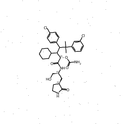 CC(C)(c1cccc(Cl)c1)C(c1ccc(Cl)cc1)C(C1CCCCC1)[C@H](OC(N)=O)C(=O)N[C@H](CO)C[C@@H]1CCNC1=O